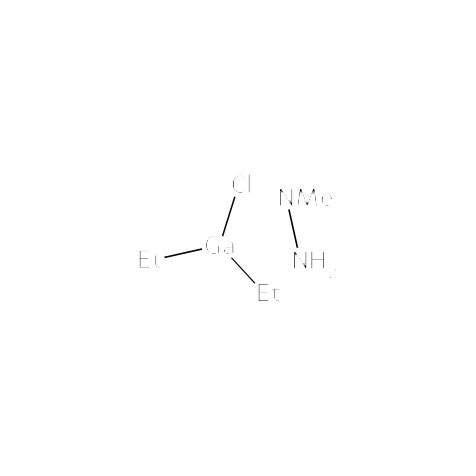 CNN.C[CH2][Ga]([Cl])[CH2]C